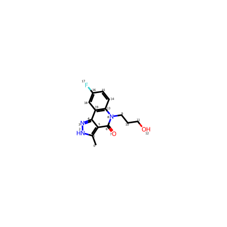 Cc1[nH]nc2c1c(=O)n(CCCO)c1ccc(F)cc21